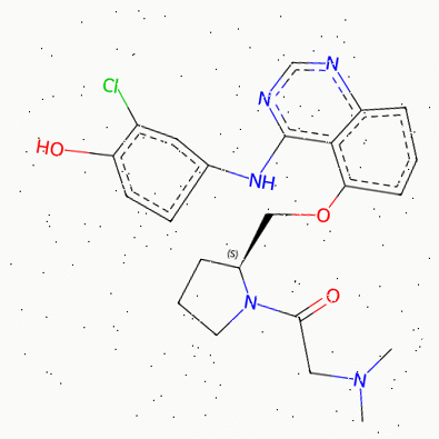 CN(C)CC(=O)N1CCC[C@H]1COc1cccc2ncnc(Nc3ccc(O)c(Cl)c3)c12